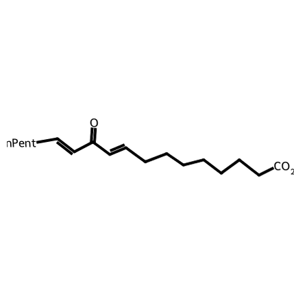 CCCCCC=CC(=O)C=CCCCCCCCC(=O)O